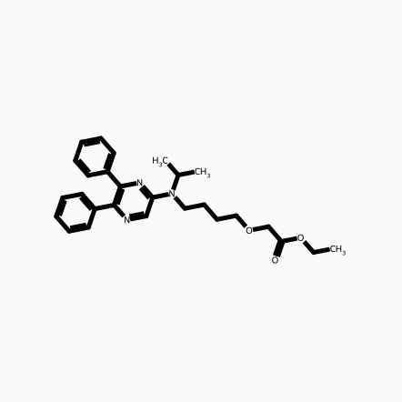 CCOC(=O)COCCCCN(c1cnc(-c2ccccc2)c(-c2ccccc2)n1)C(C)C